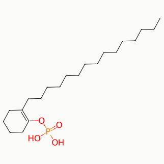 CCCCCCCCCCCCCCCC1=C(OP(=O)(O)O)CCCC1